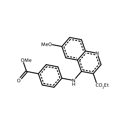 CCOC(=O)c1cnc2ccc(OC)cc2c1Nc1ccc(C(=O)OC)cc1